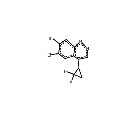 FC1(F)CC1c1cnnc2cc(Br)c(Cl)cc12